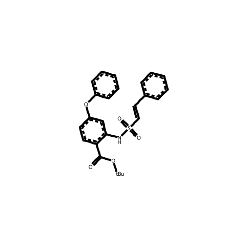 CC(C)(C)OC(=O)c1ccc(Oc2ccccc2)cc1NS(=O)(=O)C=Cc1ccccc1